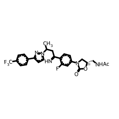 CC(=O)NC[C@H]1CN(c2ccc(C(=N)CC(C)n3ccc(-c4ccc(C(F)(F)F)cc4)n3)c(F)c2)C(=O)O1